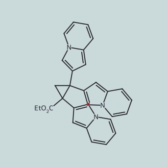 CCOC(=O)C1(c2cc3ccccn3c2)CC1(c1cc2ccccn2c1)c1cc2ccccn2c1